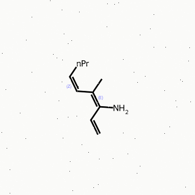 C=C/C(N)=C(C)\C=C/CCC